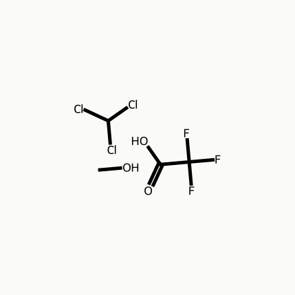 CO.ClC(Cl)Cl.O=C(O)C(F)(F)F